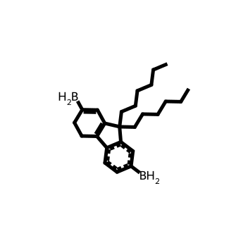 BC1=CC2=C(CC1)c1ccc(B)cc1C2(CCCCCC)CCCCCC